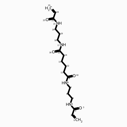 C=CC(=O)NCCCNC(=O)CCCCC(=O)NCCCNC(=O)C=C